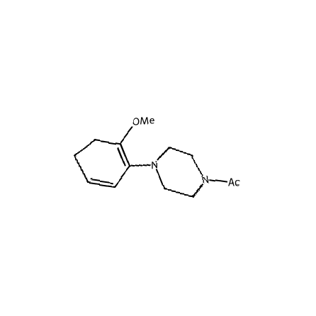 COC1=C(N2CCN(C(C)=O)CC2)C=CCC1